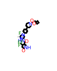 C[C@@H]1C(F)N(c2ccc(C3=CCCN(C(=O)OC4(C)CCC4)CC3)cc2)C[C@@](C)(NC(=O)c2c[nH]c(=O)cc2C(F)(F)F)N1C